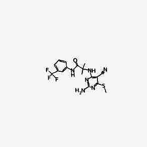 CSc1nc(N)nc(NC(C)(C)C(=O)Nc2cccc(C(F)(F)F)c2)c1C#N